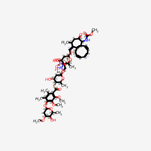 CCC(SSC/C=C1\C2=C(C#C/C=C\C#C[C@@H]2OC2CC(O)[C@H](NOC3C[C@H](O)[C@H](SC(=O)c4c(C)c(C)c(OC5C[C@H](OC)C(O)[C@H](C)O5)c(OC)c4OC)C(C)O3)C(C)O2)C(NC(=O)OC)C(=O)CC1C)P(O)O